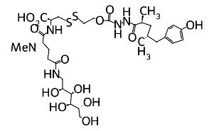 CN[C@@H](CCC(=O)NC[C@H](O)[C@@H](O)[C@H](O)[C@H](O)CO)C(=O)N[C@H](CSSCCOC(=O)NNC(=O)[C@@H](C)C[C@@H](C)Cc1ccc(O)cc1)C(=O)O